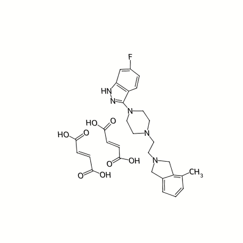 Cc1cccc2c1CN(CCN1CCN(c3n[nH]c4cc(F)ccc34)CC1)C2.O=C(O)C=CC(=O)O.O=C(O)C=CC(=O)O